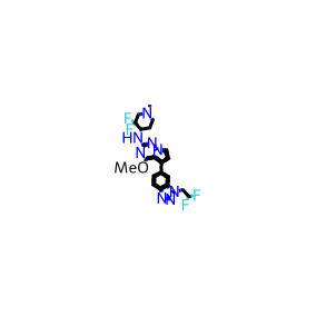 COc1nc(N[C@H]2CCN(C)CC2(F)F)nn2ccc(-c3ccc4nnn(CC(F)F)c4c3)c12